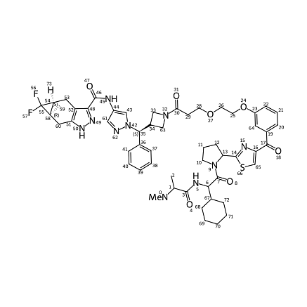 CNC(C)C(=O)NC(C(=O)N1CCCC1c1nc(C(=O)c2cccc(OCCOCCC(=O)N3CC([C@@H](c4ccccc4)n4cc(NC(=O)c5n[nH]c6c5C[C@@H]5C(F)(F)[C@]5(C)C6)cn4)C3)c2)cs1)C1CCCCC1